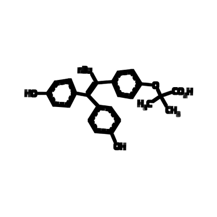 CCCCC(=C(c1ccc(O)cc1)c1ccc(O)cc1)c1ccc(OC(C)(C)C(=O)O)cc1